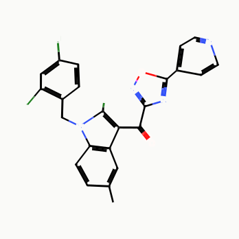 Cc1ccc2c(c1)c(C(=O)c1noc(-c3ccncc3)n1)c(Cl)n2Cc1ccc(Cl)cc1Cl